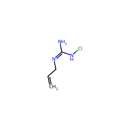 C=CCN=C(N)NCl